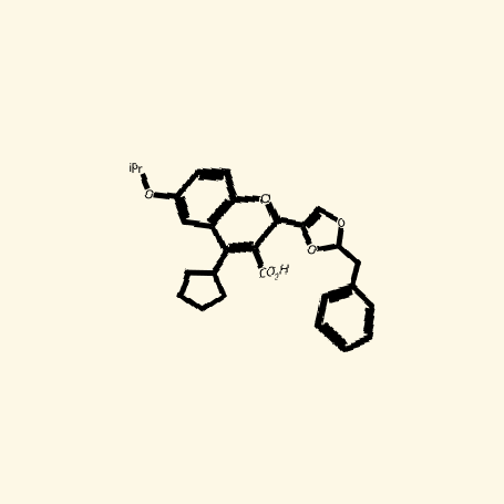 CC(C)Oc1ccc2c(c1)C(C1CCCC1)=C(C(=O)O)C(C1=COC(Cc3ccccc3)O1)O2